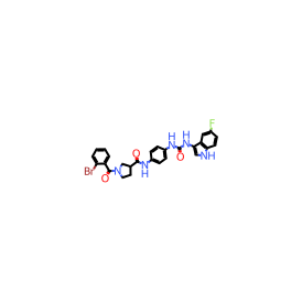 O=C(Nc1ccc(NC(=O)C2CCN(C(=O)c3ccccc3Br)C2)cc1)Nc1c[nH]c2ccc(F)cc12